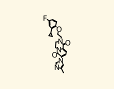 Cc1cn(-c2ccc3n(c2=O)CCN(CCOc2ccc(F)cc2C2CC2)C3=O)cn1